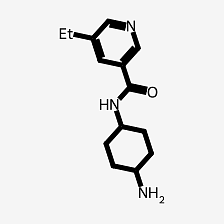 CCc1cncc(C(=O)NC2CCC(N)CC2)c1